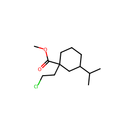 COC(=O)C1(CCCl)CCCC(C(C)C)C1